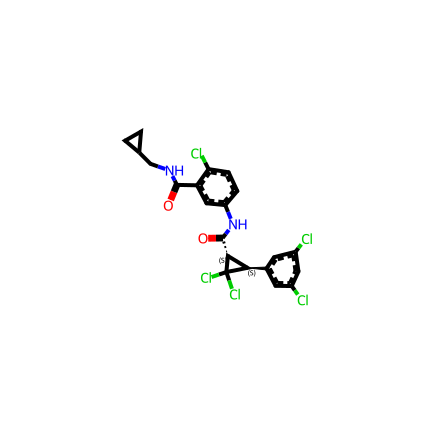 O=C(NCC1CC1)c1cc(NC(=O)[C@@H]2[C@@H](c3cc(Cl)cc(Cl)c3)C2(Cl)Cl)ccc1Cl